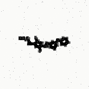 CCOC(=O)C1CC1c1cc(F)c(NCc2cccc(Oc3ccccc3)c2)cc1F